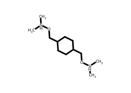 C[SiH](C)OCC1CCC(CO[SiH](C)C)CC1